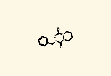 CC(C)C(=O)N1CCCCN1C(=O)OCc1ccccc1